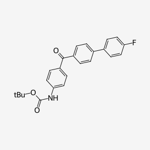 CC(C)(C)OC(=O)Nc1ccc(C(=O)c2ccc(-c3ccc(F)cc3)cc2)cc1